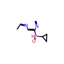 C=N/C(=C\N=C/C)[PH](=O)C1CC1